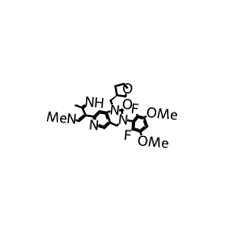 CN/C=C(\C(C)=N)c1cc2c(cn1)CN(c1c(F)c(OC)cc(OC)c1F)C(=O)N2C[C@H]1CCOC1